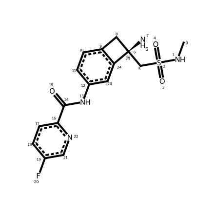 CNS(=O)(=O)C[C@@]1(N)Cc2ccc(NC(=O)c3ccc(F)cn3)cc21